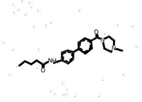 CCCCC(=O)NCc1ccc(-c2ccc(C(=O)N3CCN(C)CC3)cc2)cc1